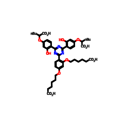 CCCCC(Oc1ccc(-c2nc(-c3ccc(OC(CCCC)C(=O)O)cc3O)nc(-c3ccc(OCCCCCC(=O)O)cc3OCCCCCC(=O)O)n2)c(O)c1)C(=O)O